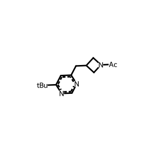 CC(=O)N1CC(Cc2cc(C(C)(C)C)ncn2)C1